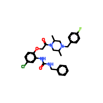 CC1CN(C(=O)COc2ccc(Cl)cc2NC(=O)NCc2ccccc2)C(C)CN1Cc1ccc(F)cc1